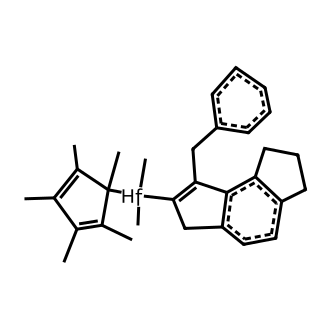 CC1=C(C)[C](C)([Hf]([CH3])([CH3])[C]2=C(Cc3ccccc3)c3c(ccc4c3CCC4)C2)C(C)=C1C